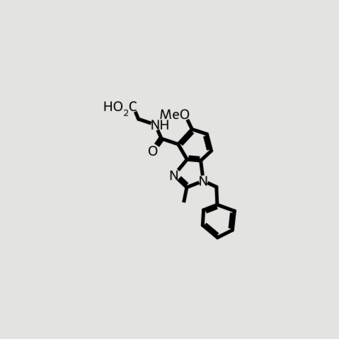 COc1ccc2c(nc(C)n2Cc2ccccc2)c1C(=O)NCC(=O)O